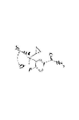 NC(=O)c1ccc(F)c(C2(C3CC3)COCC(=S)N2)c1